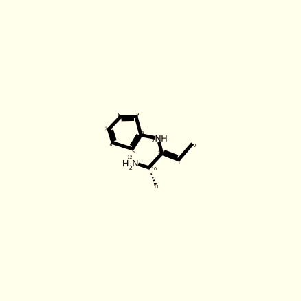 C/C=C(\Nc1ccccc1)[C@H](C)N